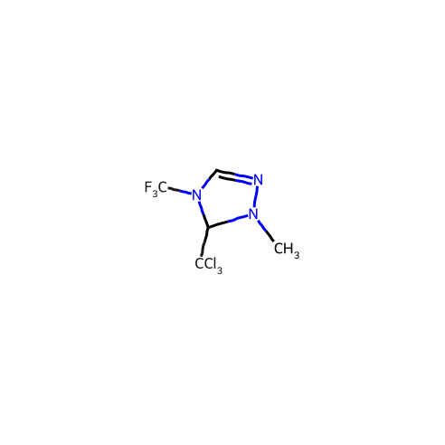 CN1N=CN(C(F)(F)F)C1C(Cl)(Cl)Cl